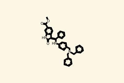 COC(=O)c1ccc2c(c1)NC(=O)/C2=C(\Nc1ccc(CN(Cc2ccccc2)Cc2ccccc2)cc1)c1ccccc1